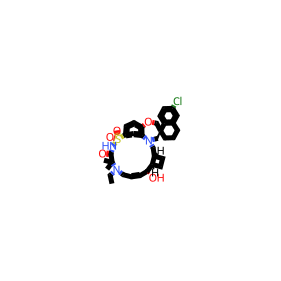 CCN1CC=C[C@H](O)[C@@H]2CC[C@H]2CN2C[C@@]3(CCCc4cc(Cl)ccc43)COc3ccc(cc32)S(=O)(=O)NC(=O)C1(C)C